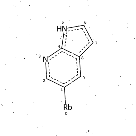 [Rb][c]1cnc2[nH]ccc2c1